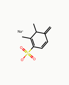 C=C1C=CC(S(=O)(=O)[O-])=C(C)C1C.[Na+]